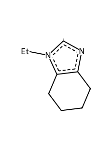 CCn1[c]nc2c1CCCC2